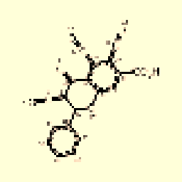 O=C=C1C(=O)c2c(cc(C(=O)O)c(=C=O)c2=C=O)OC1c1ccccc1